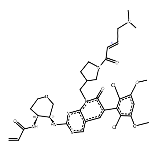 C=CC(=O)N[C@H]1CCOC[C@H]1Nc1ncc2cc(-c3c(Cl)c(OC)cc(OC)c3Cl)c(=O)n(CC3CCN(C(=O)/C=C/CN(C)C)C3)c2n1